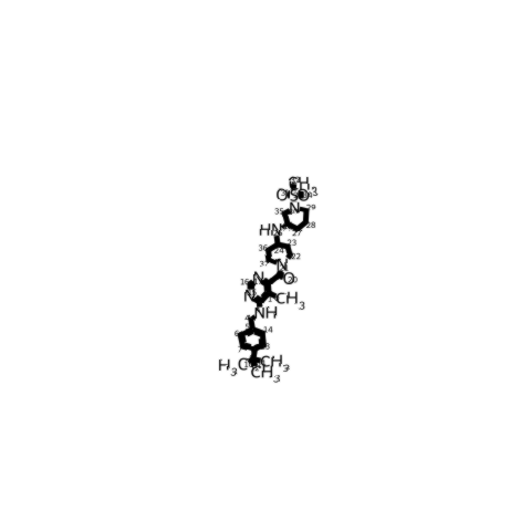 Cc1c(NCc2ccc(C(C)(C)C)cc2)ncnc1C(=O)N1CCC(N[C@@H]2CCCN(S(C)(=O)=O)C2)CC1